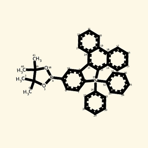 CC1(C)OB(c2ccc3c(c2)-c2c(c4ccccc4c4ccccc24)S3(c2ccccc2)c2ccccc2)OC1(C)C